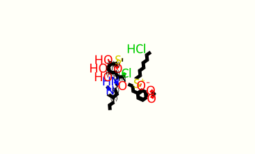 CCCCCCCC[S+]([O-])C(C)Cc1ccc2c(c1)OCO2.CCC[C@@H]1C[C@@H](C(=O)N[C@@H]([C@H]2O[C@H](SC)[C@H](O)[C@@H](O)[C@H]2O)[C@H](C)Cl)N(C)C1.Cl